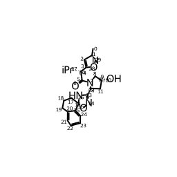 Cc1cc([C@H](C(=O)N2C[C@H](O)C[C@H]2C2=NOC3(CCCc4ccccc43)N2)C(C)C)on1